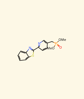 COP(=O)(Cc1ccc(-c2nc3ccccc3s2)nc1)OC